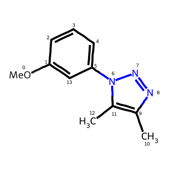 COc1cccc(-n2nnc(C)c2C)c1